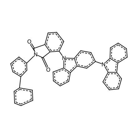 O=C1c2cccc(-n3c4ccccc4c4cc(-n5c6ccccc6c6ccccc65)ccc43)c2C(=O)N1c1cccc(-c2ccccc2)c1